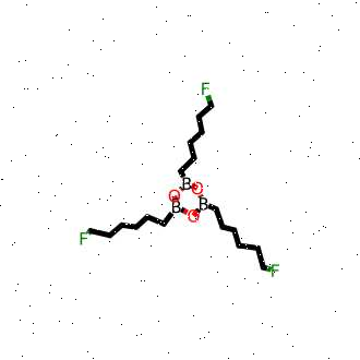 FCCCCCCB1OB(CCCCCCF)OB(CCCCCCF)O1